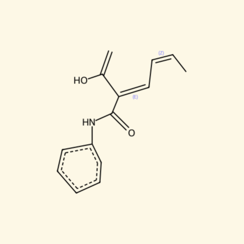 C=C(O)/C(=C\C=C/C)C(=O)Nc1ccccc1